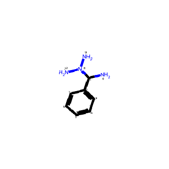 NC(c1ccccc1)N(N)N